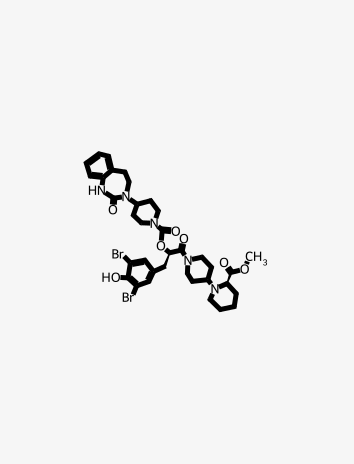 COC(=O)[C@H]1CCCCN1C1CCN(C(=O)[C@@H](Cc2cc(Br)c(O)c(Br)c2)OC(=O)N2CCC(N3CCc4ccccc4NC3=O)CC2)CC1